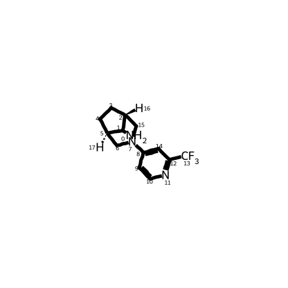 NC1[C@@H]2CC[C@@H]1CN(c1ccnc(C(F)(F)F)c1)C2